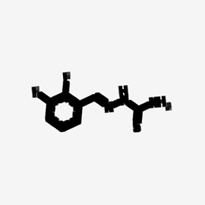 NC(=S)NN=Cc1cccc(F)c1F